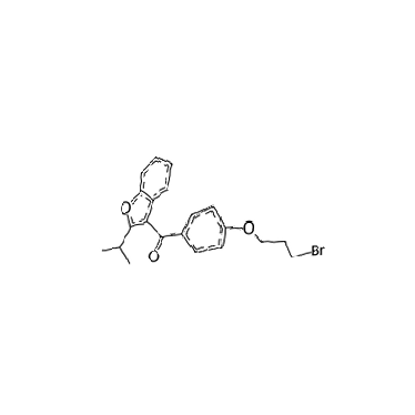 CC(C)c1oc2ccccc2c1C(=O)c1ccc(OCCCBr)cc1